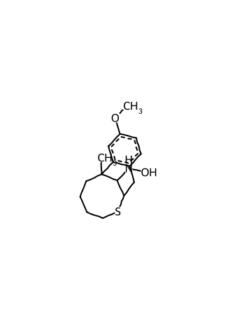 COc1ccc2c(c1)C1(C)CCCCSC(C2)C1NO